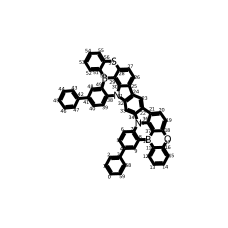 c1ccc(-c2ccc3c(c2)B2c4ccccc4Oc4ccc5c6cc7c8ccc9c%10c8n(c7cc6n-3c5c42)-c2ccc(-c3ccccc3)cc2B%10c2ccccc2S9)cc1